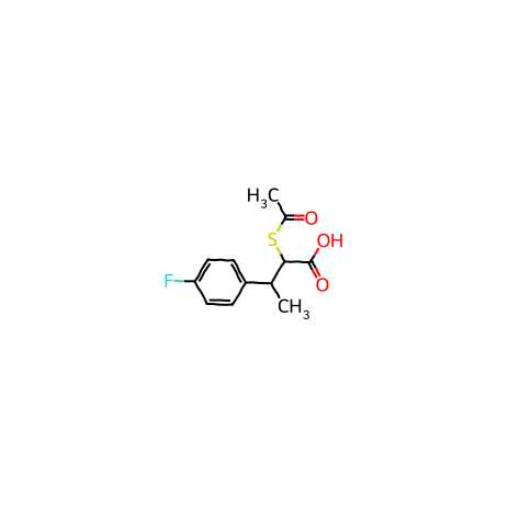 CC(=O)SC(C(=O)O)C(C)c1ccc(F)cc1